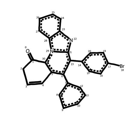 O=C1CC=Cc2c(-c3ccccc3)c(-c3ccc(Br)cc3)c3nc4ccccc4n3c21